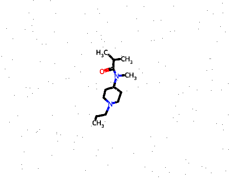 CCCN1CCC(N(C)C(=O)C(C)C)CC1